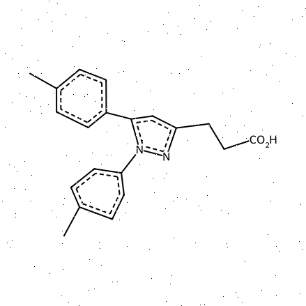 Cc1ccc(-c2cc(CCC(=O)O)nn2-c2ccc(C)cc2)cc1